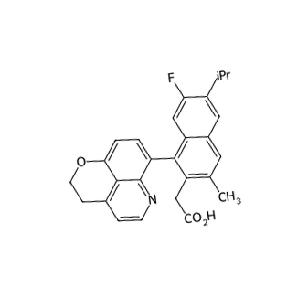 Cc1cc2cc(C(C)C)c(F)cc2c(-c2ccc3c4c(ccnc24)CCO3)c1CC(=O)O